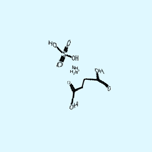 N.N.O=C(O)CCC(=O)O.O=S(=O)(O)O